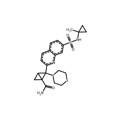 CC1(NS(=O)(=O)c2ccc3ccc(C4(N5CCSCC5)C5CC54C(N)=O)nc3c2)CC1